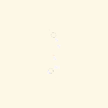 CC(C)(C)c1ccc(N2CCCN(CCCC(=O)N3CCC(Nc4ccnc(C(F)(F)F)c4)CC3)CC2)cc1